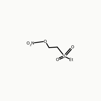 [CH2]CS(=O)(=O)CCO[N+](=O)[O-]